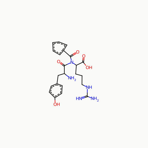 N=C(N)NCCCC(C(=O)O)N(C(=O)c1ccccc1)C(=O)C(N)Cc1ccc(O)cc1